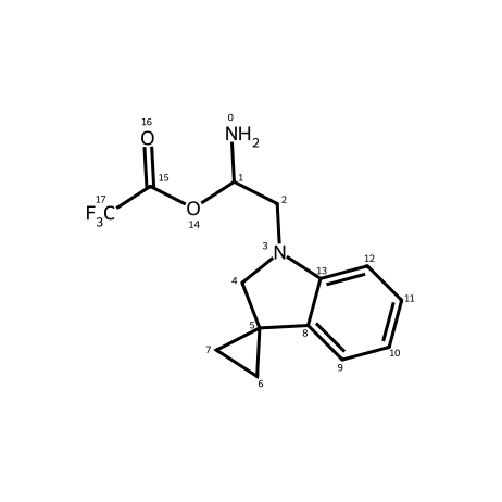 NC(CN1CC2(CC2)c2ccccc21)OC(=O)C(F)(F)F